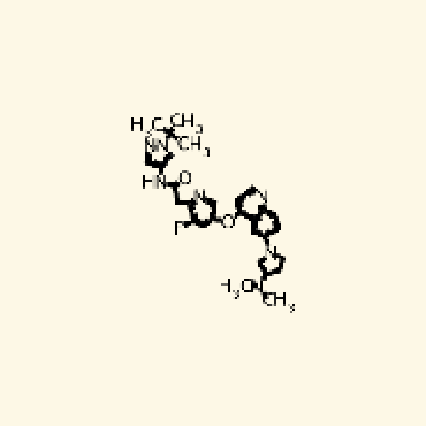 CN(C)C1CCN(c2ccc3nccc(Oc4cnc(CC(=O)Nc5cnn(C(C)(C)C)c5)c(F)c4)c3c2)C1